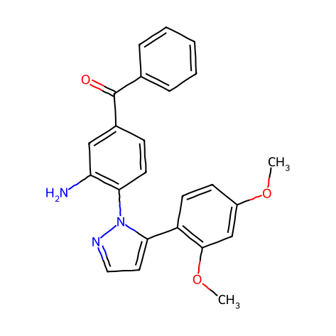 COc1ccc(-c2ccnn2-c2ccc(C(=O)c3ccccc3)cc2N)c(OC)c1